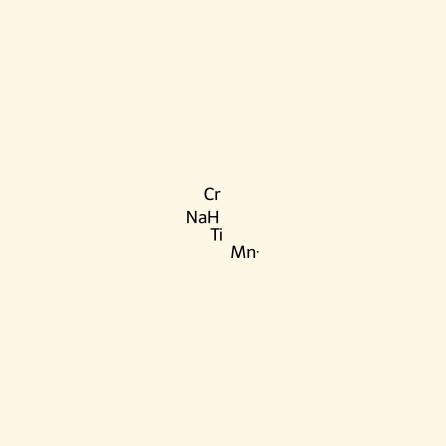 [Cr].[Mn].[NaH].[Ti]